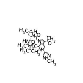 CC(=O)c1cn(CC(=O)N2[C@H](C(=O)N[C@H](C)C(F)=C(C)C)C[C@@]3(C)C[C@@H]23)c2c(C)nc(-c3cnc(C)nc3)cc12